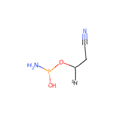 [3H]C(CC#N)OP(N)O